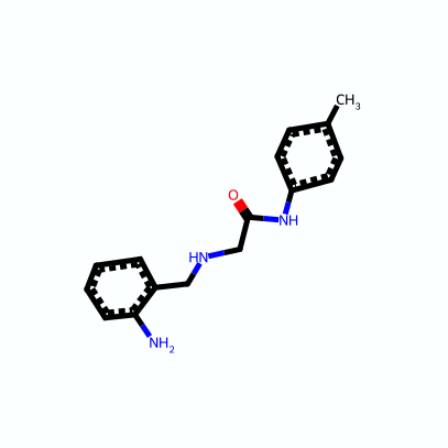 Cc1ccc(NC(=O)CNCc2ccccc2N)cc1